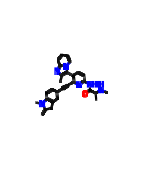 C=C1Cc2cc(C#Cc3nc(NC(=O)C(C)NC)ccc3-c3c(C)nc4ccccn34)ccc2N1C